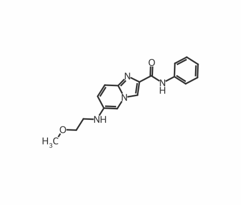 COCCNc1ccc2nc(C(=O)Nc3ccccc3)cn2c1